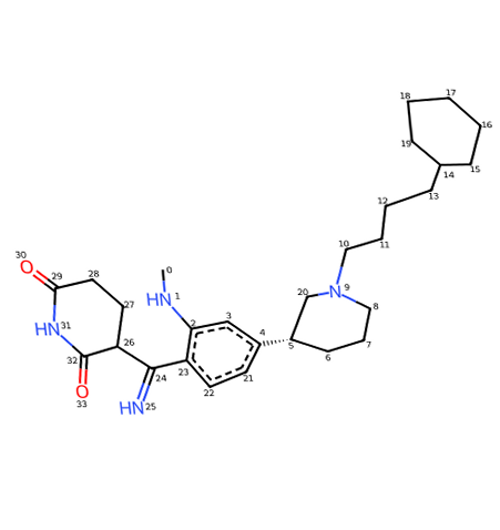 CNc1cc([C@H]2CCCN(CCCCC3CCCCC3)C2)ccc1C(=N)C1CCC(=O)NC1=O